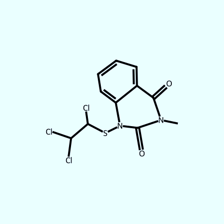 Cn1c(=O)c2ccccc2n(SC(Cl)C(Cl)Cl)c1=O